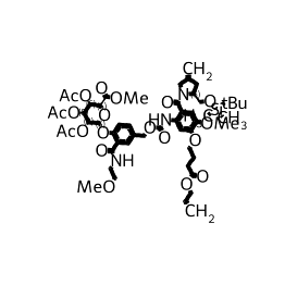 C=CCOC(=O)CCCOc1cc(NC(=O)OCc2ccc(O[C@@H]3O[C@H](C(=O)OC)[C@@H](OC(C)=O)[C@H](OC(C)=O)[C@H]3OC(C)=O)c(C(=O)NCCOC)c2)c(C(=O)N2CC(=C)C[C@H]2CO[Si](C)(C)C(C)(C)C)cc1OC